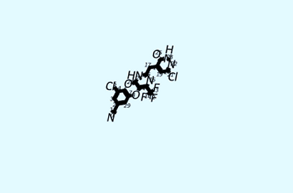 N#Cc1cc(Cl)cc(Oc2c(C(F)(F)F)nc(Cc3cc(Cl)n[nH]c3=O)[nH]c2=O)c1